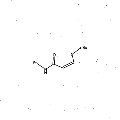 CCCCS/C=C\C(=O)NCC